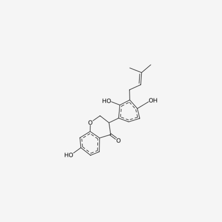 CC(C)=CCc1c(O)ccc(C2COc3cc(O)ccc3C2=O)c1O